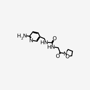 Nc1ccc(CNC(=O)NCC(=O)N2CCCO2)cn1